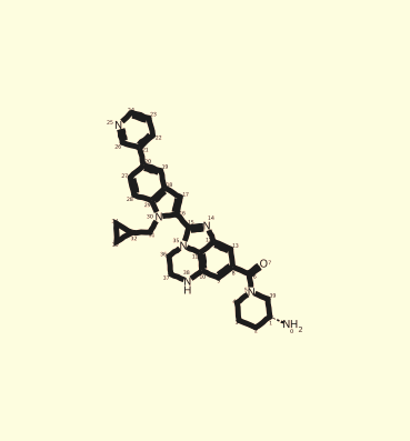 N[C@@H]1CCCN(C(=O)c2cc3c4c(c2)nc(-c2cc5cc(-c6cccnc6)ccc5n2CC2CC2)n4CCN3)C1